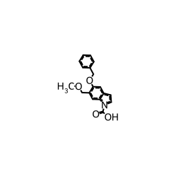 COCc1cc2c(ccn2C(=O)O)cc1OCc1ccccc1